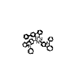 C1=CC=CC(N2C3=CC(c4nc(-c5ccc6c7c(n(-c8ccccc8)c6c5)C=CCC=C7)nc(-c5ccccc5-c5ccc(-c6ccccc6)cc5)n4)=CC=C(C3)c3ccccc32)C=C1